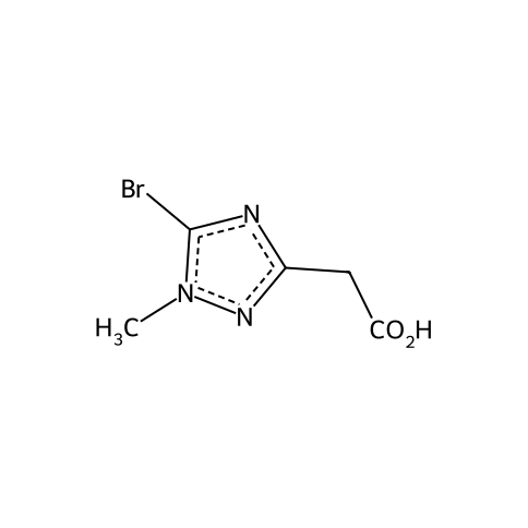 Cn1nc(CC(=O)O)nc1Br